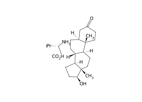 CC(C)[C@H](N)C(=O)O.C[C@]12CCC(=O)C[C@@H]1CC[C@@H]1[C@@H]2CC[C@]2(C)[C@@H](O)CC[C@@H]12